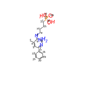 C\N=C(/C=C(C)\C(N)=N\CCCCP(=O)(O)O)c1ccccc1